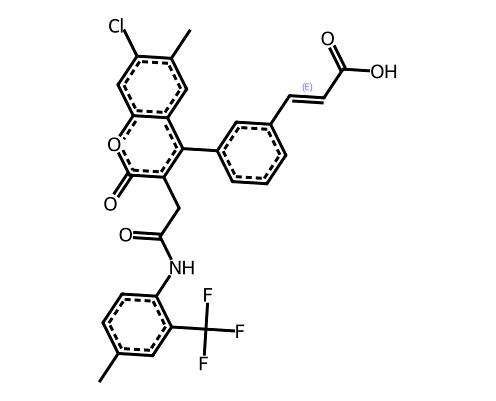 Cc1ccc(NC(=O)Cc2c(-c3cccc(/C=C/C(=O)O)c3)c3cc(C)c(Cl)cc3oc2=O)c(C(F)(F)F)c1